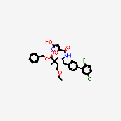 CCOCCC(C)(C[C@@H](Cc1ccc(-c2cc(Cl)ccc2F)cc1)NC(=O)c1cc(O)no1)C(=O)OCc1ccccc1